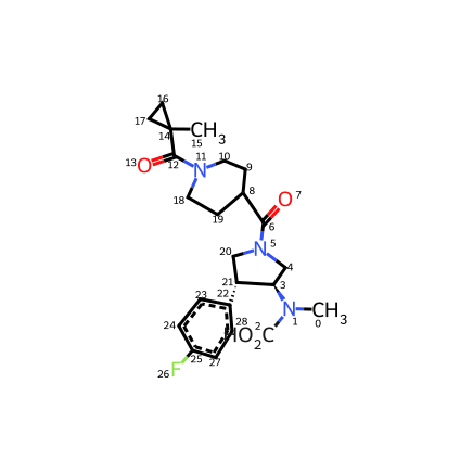 CN(C(=O)O)[C@@H]1CN(C(=O)C2CCN(C(=O)C3(C)CC3)CC2)C[C@H]1c1ccc(F)cc1